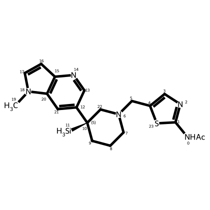 CC(=O)Nc1ncc(CN2CCC[C@]([SiH3])(c3cnc4ccn(C)c4c3)C2)s1